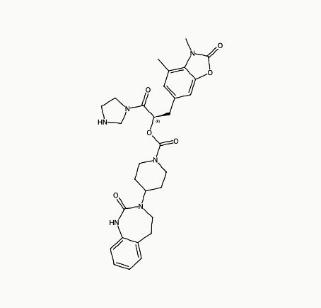 Cc1cc(C[C@@H](OC(=O)N2CCC(N3CCc4ccccc4NC3=O)CC2)C(=O)N2CCNC2)cc2oc(=O)n(C)c12